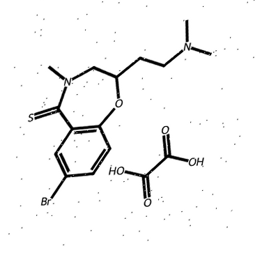 CN(C)CCC1CN(C)C(=S)c2cc(Br)ccc2O1.O=C(O)C(=O)O